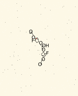 OC(COC1CC2(F)CC1CC2OCC1CO1)COC1CC2CC1(F)CC2OCC1CO1